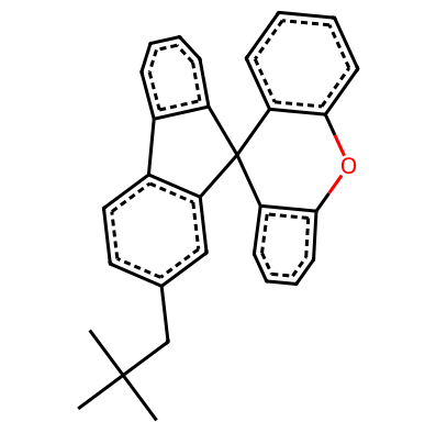 CC(C)(C)Cc1ccc2c(c1)C1(c3ccccc3Oc3ccccc31)c1ccccc1-2